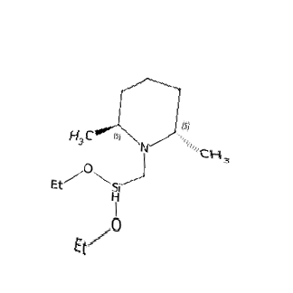 CCO[SiH](CN1[C@@H](C)CCC[C@@H]1C)OCC